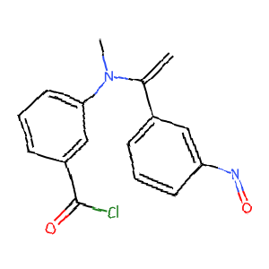 C=C(c1cccc(N=O)c1)N(C)c1cccc(C(=O)Cl)c1